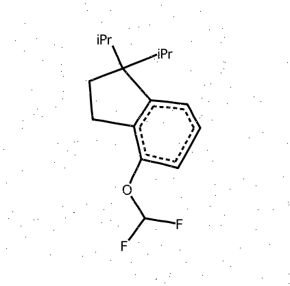 CC(C)C1(C(C)C)CCc2c(OC(F)F)cccc21